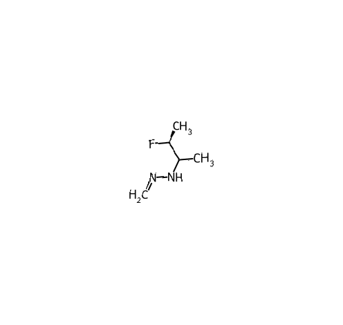 C=NNC(C)[C@H](C)F